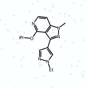 CCn1cc(-c2nn(C)c3ccnc(OC(C)C)c23)cn1